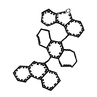 C1=Cc2c(c(-c3cccc4oc5ccccc5c34)c3c(c2-c2cc4ccccc4c4ccccc24)C=CCC3)CC1